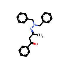 C/C(CC(=O)c1ccccc1)=N\N(Cc1ccccc1)Cc1ccccc1